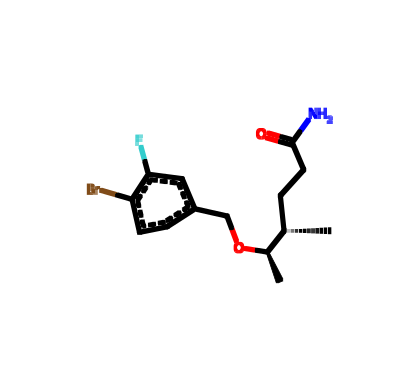 C[C@@H](CCC(N)=O)[C@@H](C)OCc1ccc(Br)c(F)c1